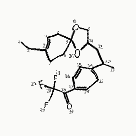 CCC1=CCC2(CC1)OCC(CC(C)c1ccc(C(=O)C(F)(F)F)cc1)O2